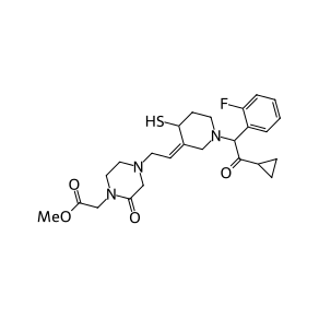 COC(=O)CN1CCN(CC=C2CN(C(C(=O)C3CC3)c3ccccc3F)CCC2S)CC1=O